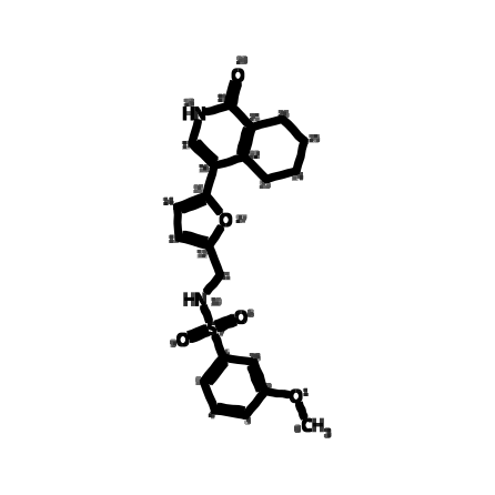 COc1cccc(S(=O)(=O)NCc2ccc(-c3c[nH]c(=O)c4c3CCCC4)o2)c1